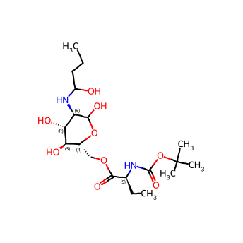 CCCC(O)N[C@H]1C(O)O[C@H](COC(=O)[C@H](CC)NC(=O)OC(C)(C)C)[C@@H](O)[C@@H]1O